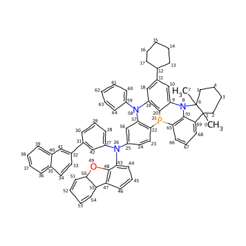 CC12CCCCC1(C)N1c3cc(C4CCCCC4)cc4c3P(c3ccc(N(c5cccc(-c6ccc7ccccc7c6)c5)c5cccc6c5OC5C=CC=CC65)cc3N4c3ccccc3)c3cccc2c31